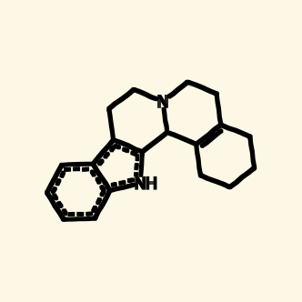 c1ccc2c3c([nH]c2c1)C1C2=C(CCCC2)CCN1CC3